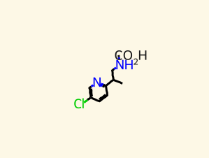 CC(CNC(=O)O)c1ccc(Cl)cn1